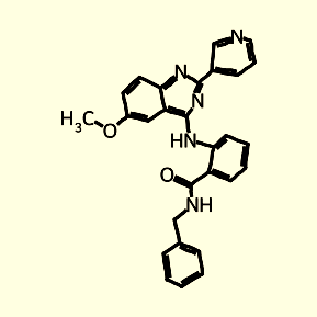 COc1ccc2nc(-c3cccnc3)nc(Nc3ccccc3C(=O)NCc3ccccc3)c2c1